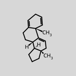 C[C@]12C=CCC=C1CC[C@@H]1C2=CC[C@]2(C)CCC[C@@H]12